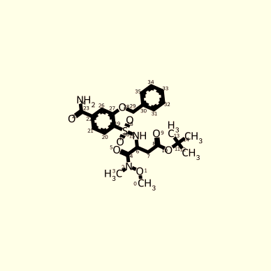 CON(C)C(=O)C(CC(=O)OC(C)(C)C)NS(=O)(=O)c1ccc(C(N)=O)cc1OCc1ccccc1